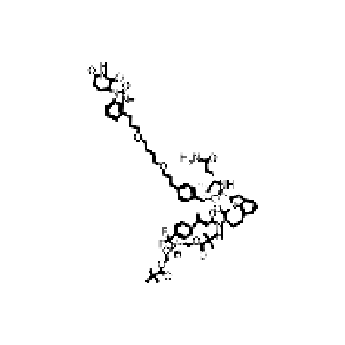 C/C(=C\C(=O)N[C@H]1CCc2cccc3c2N(C1=O)[C@H](C(=O)N[C@@H](CCC(N)=O)[C@@H](C)OCc1ccc(CCCOCCCCOCCCc2cccc4c2n(C)c(=O)n4C2CCC(=O)NC2=O)cc1)C3)c1ccc(C(F)(F)P(=O)(OCOC(=O)C(C)(C)C)OCOC(=O)C(C)(C)C)cc1